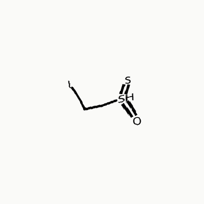 O=[SH](=S)CI